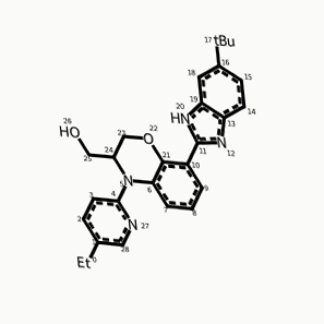 CCc1ccc(N2c3cccc(-c4nc5ccc(C(C)(C)C)cc5[nH]4)c3OCC2CO)nc1